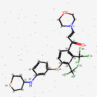 O=C(C=CN1CCOCC1)c1ccc(Sc2cccc(NC3CCSCC3)c2)c(C(F)(F)F)c1C(F)(F)F